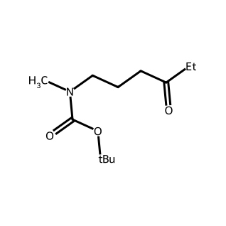 CCC(=O)CCCN(C)C(=O)OC(C)(C)C